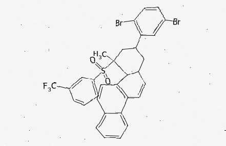 CC1(S(=O)(=O)c2cccc(C(F)(F)F)c2)CC(c2cc(Br)ccc2Br)CC2C=Cc3c(ccc4ccccc34)C21